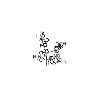 CN1CC[C@H]2CC[C@@H](C(=O)N[C@@H](CCC(N)=O)COc3cccc(Cc4ccc5c(c4F)CN(C4CCC(=O)NC4=O)C5=O)c3Cl)N2C(=O)[C@@H](NC(=O)c2cc3cc(C(F)(F)P(=O)(O)O)ccc3[nH]2)C1